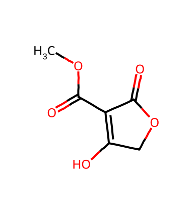 COC(=O)C1=C(O)COC1=O